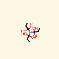 CCC(O)(O)N(C(O)(O)CC)C(O)(O)CC